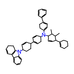 CC1C(C2=CCCCC2)C=CC(N(C2=CC=C(c3ccccc3)CC2)C2C=CC(C3C=CC(n4c5c(c6ccccc64)C=CCC5)CC3)=CC2)C1C